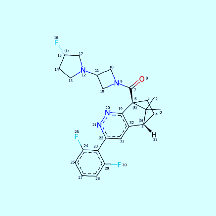 CC1(C)[C@@H]2CC[C@@]1(C(=O)N1CC(N3CC[C@H](F)C3)C1)c1nnc(-c3c(F)cccc3F)cc12